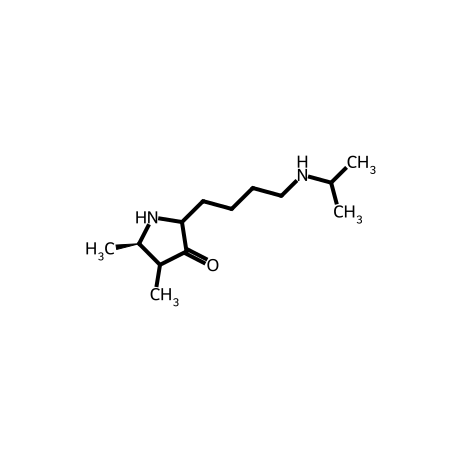 CC(C)NCCCCC1N[C@H](C)C(C)C1=O